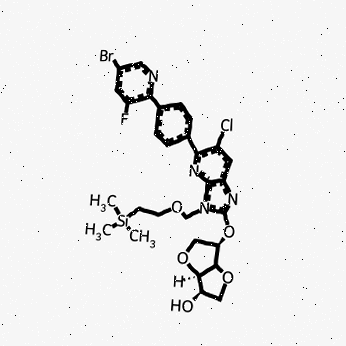 C[Si](C)(C)CCOCn1c(O[C@@H]2CO[C@H]3C2OC[C@H]3O)nc2cc(Cl)c(-c3ccc(-c4ncc(Br)cc4F)cc3)nc21